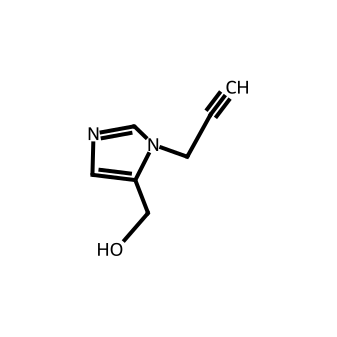 C#CCn1cncc1CO